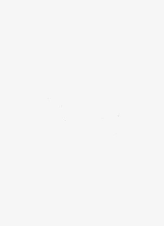 CCCC1(C)OOCCC(C)(C)C(C)(C)OO1